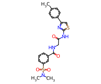 Cc1ccc(-c2csc(NC(=O)CNC(=O)c3cccc(S(=O)(=O)N(C)C)c3)n2)cc1